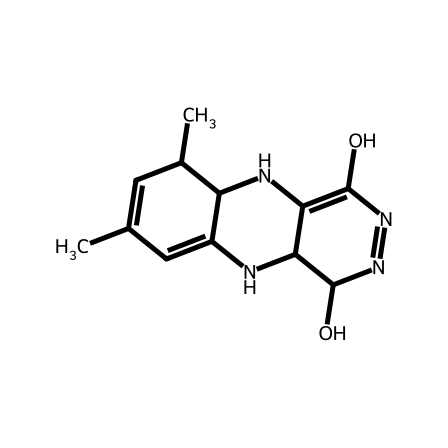 CC1=CC(C)C2NC3=C(O)N=NC(O)C3NC2=C1